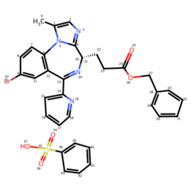 Cc1cnc2n1-c1ccc(Br)cc1C(c1ccccn1)=N[C@H]2CCC(=O)OCc1ccccc1.O=S(=O)(O)c1ccccc1